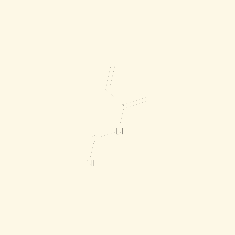 C=CC(=C)BON